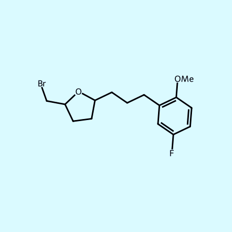 COc1ccc(F)cc1CCCC1CCC(CBr)O1